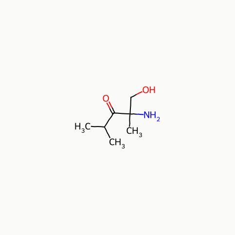 CC(C)C(=O)C(C)(N)CO